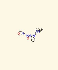 O=C(O)NCCn1cc(C(=O)NCCN2CCOCC2)c2ccccc21